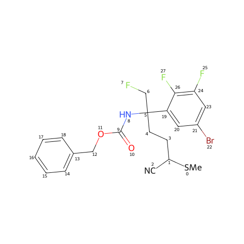 CSC(C#N)CCC(CF)(NC(=O)OCc1ccccc1)c1cc(Br)cc(F)c1F